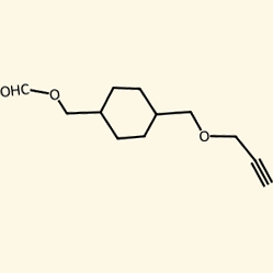 C#CCOCC1CCC(COC=O)CC1